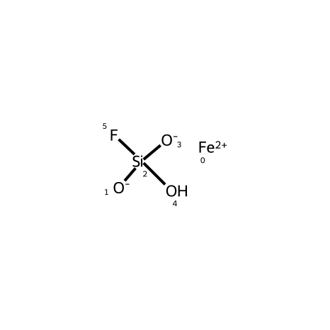 [Fe+2].[O-][Si]([O-])(O)F